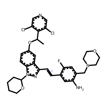 CC(Oc1ccc2c(c1)c(/C=C/c1cc(N)c(CN3CCOCC3)cc1F)nn2C1CCCCO1)c1c(Cl)cncc1Cl